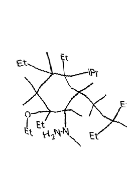 CCOC1(CC)C(C)(C)C(C)(CC)C(CC)(C(C)C)C(C)(C(C)(C)C(C)(CC)CC)C1(C)N(C)N